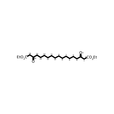 CCOC(=O)CC(=O)CCCCCCCCCCCCC(=O)CC(=O)OCC